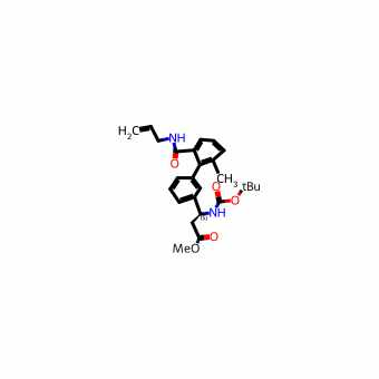 C=CCNC(=O)c1cccc(C)c1-c1cccc([C@H](CC(=O)OC)NC(=O)OC(C)(C)C)c1